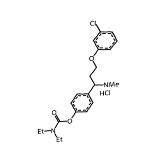 CCN(CC)C(=O)Oc1ccc(C(CCOc2cccc(Cl)c2)NC)cc1.Cl